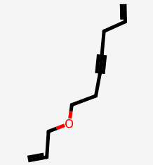 C=CCC#CCCOCC=C